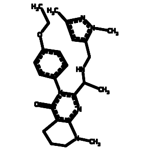 CCOc1ccc(-n2c(C(C)NCc3cc(C)nn3C)nc3c(c2=O)CCCN3C)cc1